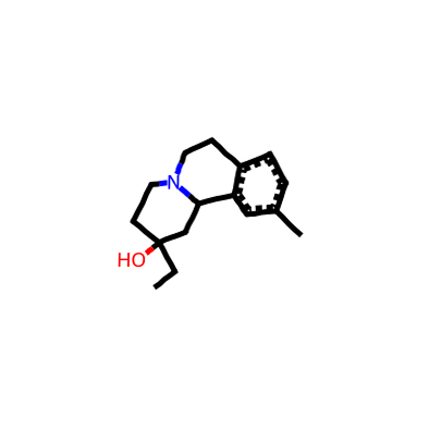 CCC1(O)CCN2CCc3ccc(C)cc3C2C1